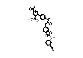 CC(=O)N1CC(C(=O)O)C(c2ccc(N(C)C(=O)Cc3ccc4nc(Nc5cccc(C#N)c5)oc4c3)cc2)C1